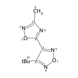 Cc1noc(-c2nonc2C(C)(C)C)n1